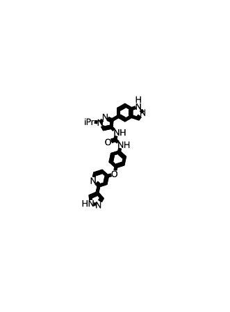 CC(C)n1cc(NC(=O)Nc2ccc(Oc3ccnc(-c4cn[nH]c4)c3)cc2)c(-c2ccc3[nH]ncc3c2)n1